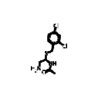 CC(=O)NC(CN)SCc1ccc(Cl)cc1Cl